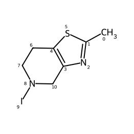 Cc1nc2c(s1)CCN(I)C2